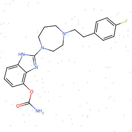 NC(=O)Oc1cccc2[nH]c(N3CCCN(CCc4ccc(F)cc4)CC3)nc12